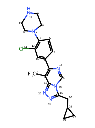 FC(F)(F)c1c(-c2ccc(N3CCNCC3)c(Cl)c2)ncn2c(CC3CC3)nnc12